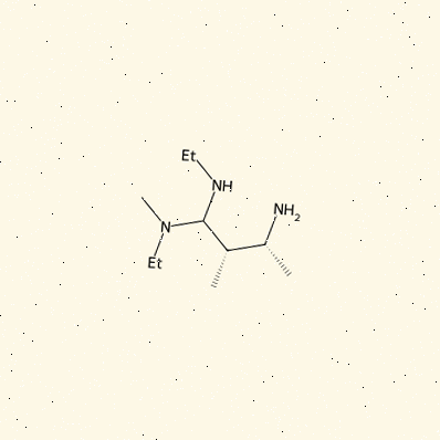 CCNC([C@@H](C)[C@@H](C)N)N(C)CC